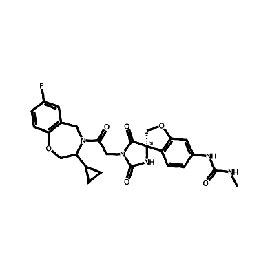 CNC(=O)Nc1ccc2c(c1)OC[C@@]21NC(=O)N(CC(=O)N2Cc3cc(F)ccc3OCC2C2CC2)C1=O